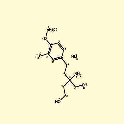 CCCCCCCOc1ccc(CCC(N)(CO)CCO)cc1C(F)(F)F.Cl